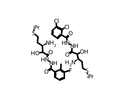 CC(C)SCC[C@@H](N)C(O)C(=O)NNC(=O)c1cccc(Cl)c1Cl.Cc1c(F)cccc1C(=O)NNC(=O)C(O)[C@H](N)CCSC(C)C